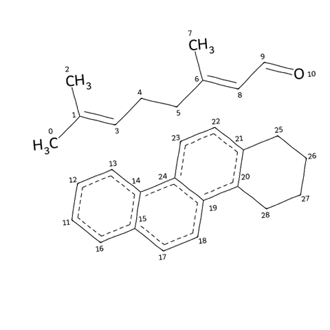 CC(C)=CCC/C(C)=C/C=O.c1ccc2c(c1)ccc1c3c(ccc12)CCCC3